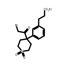 CCOC(=O)CCc1cccc(C2(C(=O)CBr)CCS(=O)(=O)CC2)c1